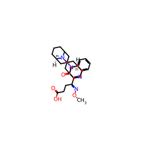 CON=C(CCC(=O)O)c1nc2ccccc2n([C@@H]2CC3CCC[C@H](C2)N3C2CC3CCC[C@@H](C3)C2)c1=O